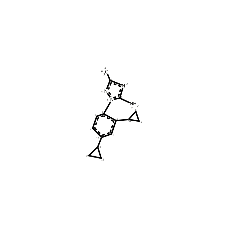 Nc1nc(C(F)(F)F)nn1-c1ccc(C2CC2)cc1C1CC1